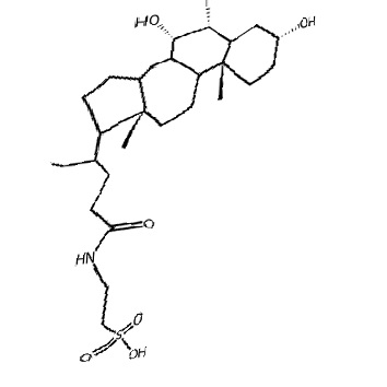 CC(CCC(=O)NCCS(=O)(=O)O)C1CCC2C3C(CC[C@]12C)[C@@]1(C)CC[C@@H](O)CC1[C@@H](O)[C@H]3O